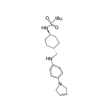 CC(C)(C)S(=O)(=O)N[C@H]1CC[C@H](CNc2ccc(N3CC=CC3)cc2)CC1